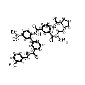 CCN(CC)c1ccc(NC(=O)c2cccc(C(=O)N(C)CCN3CCCC3C(=O)OC(C)(C)C)c2)c(-c2cc(C(=O)NCc3cccc(C(F)(F)F)c3)ccn2)c1